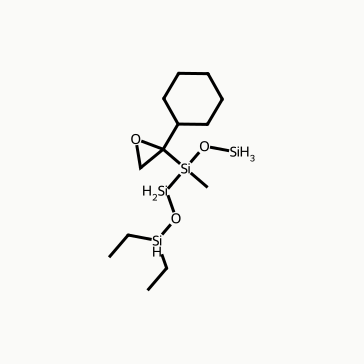 CC[SiH](CC)O[SiH2][Si](C)(O[SiH3])C1(C2CCCCC2)CO1